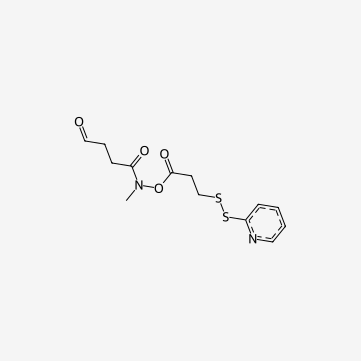 CN(OC(=O)CCSSc1ccccn1)C(=O)CCC=O